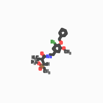 CCS(=O)(=O)[AsH]C(C(=O)NCCc1cc(Br)c(OCc2ccccc2)c(OC)c1)C(C)C